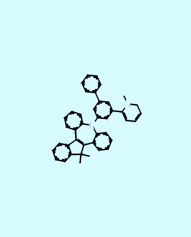 CN1CC=CC=C1c1cc(-c2ccccc2)cc(N2c3ccccc3C3=C(c4ccccc42)C(C)(C)c2ccccc23)c1